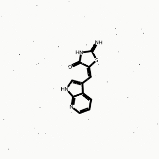 N=C1NC(=O)C(=Cc2c[nH]c3ncccc23)S1